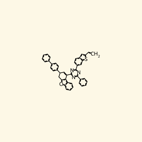 C=Cc1cc2ccc(-c3nc(C4=CC(c5ccc(-c6ccccc6)cc5)Cc5oc6ccccc6c54)nc(-c4ccccc4)n3)cc2s1